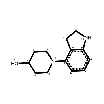 OC1CCN(c2cccc3c2CCN3)CC1